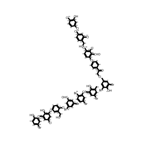 Cc1cc(Br)c(O)c(Br)c1.Cc1cc(Br)cc(C)c1O.O=C(CCl)c1ccccc1.O=C(O)c1cc(Br)ccc1Br.O=Cc1c(Cl)ccc(Cl)c1Cl.O=Cc1cc(Br)cc(Br)c1.OCc1ccc(Cl)cc1Cl.OCc1ccccc1Cl.Oc1c(Cl)cc(Cl)cc1Cl.Oc1cc(Cl)ccc1Cl.Oc1ccc(Br)cc1